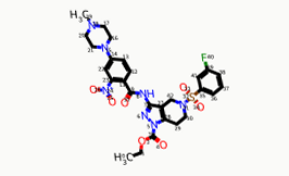 CCOC(=O)n1nc(NC(=O)c2ccc(N3CCN(C)CC3)cc2[N+](=O)[O-])c2c1CCN(S(=O)(=O)c1cccc(F)c1)C2